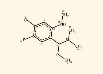 CCC(c1cc(F)c(Cl)cc1NN)C(C)C